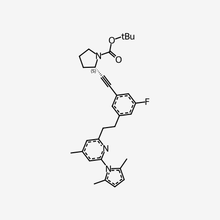 Cc1cc(CCc2cc(F)cc(C#C[C@@H]3CCCN3C(=O)OC(C)(C)C)c2)nc(-n2c(C)ccc2C)c1